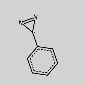 c1ccc([C]2N=N2)cc1